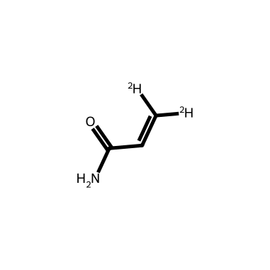 [2H]C([2H])=CC(N)=O